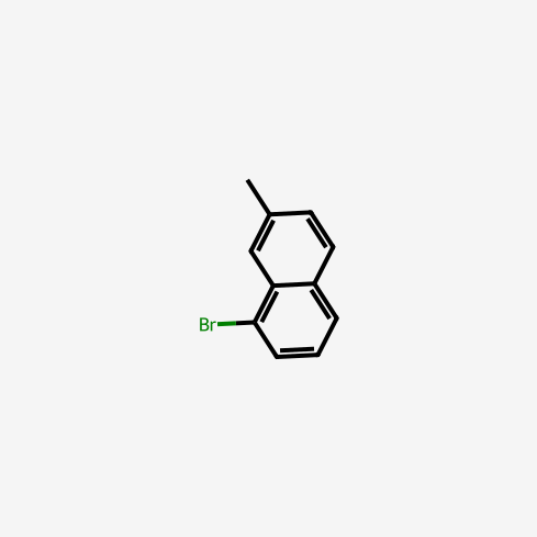 Cc1ccc2cccc(Br)c2c1